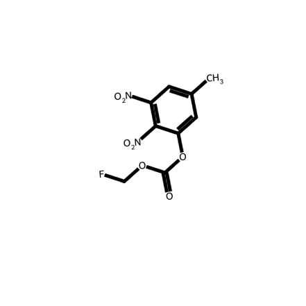 Cc1cc(OC(=O)OCF)c([N+](=O)[O-])c([N+](=O)[O-])c1